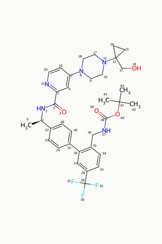 C[C@@H](NC(=O)c1cc(N2CCN(C3(CO)CC3)CC2)ccn1)c1ccc(-c2cc(C(F)(F)F)ccc2CNC(=O)OC(C)(C)C)cc1